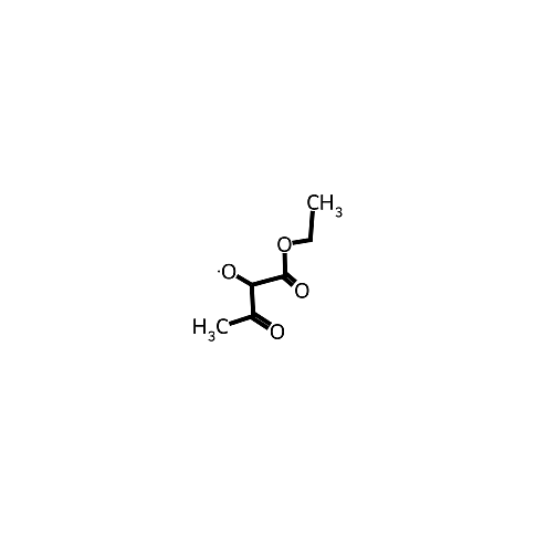 CCOC(=O)C([O])C(C)=O